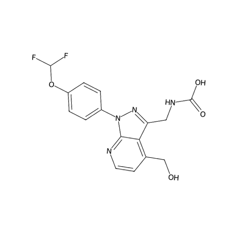 O=C(O)NCc1nn(-c2ccc(OC(F)F)cc2)c2nccc(CO)c12